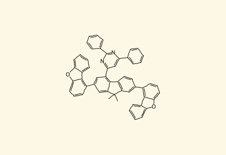 CC1(C)c2cc(-c3cccc4oc5ccccc5c34)ccc2-c2c(-c3cc(-c4ccccc4)nc(-c4ccccc4)n3)cc(-c3cccc4oc5ccccc5c34)cc21